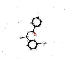 CC[C@@H](CC(=O)c1ccccc1)c1cccc(OC)c1